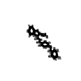 N[C@@H]1Cc2ccccc2[C@@H]1CCCc1ccc(OCc2ccccc2)cc1